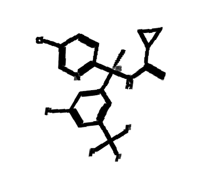 C=C(N[C@@](C)(c1cc(F)cc(C(F)(F)F)c1)c1ccc(Cl)cn1)C1CC1